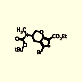 CCOC(=O)c1sc(Br)c2c1OCC(N(C)C(=O)OC(C)(C)C)C2